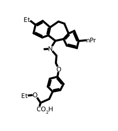 CCCc1ccc2c(c1)CCc1cc(CC)ccc1C2N(C)CCOc1ccc(CC(OCC)C(=O)O)cc1